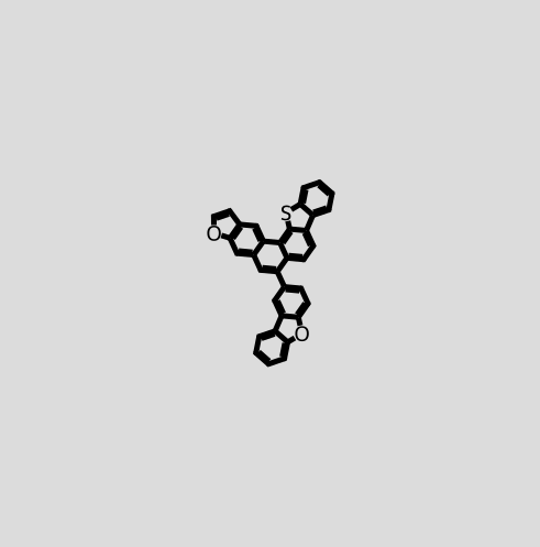 c1ccc2c(c1)oc1ccc(-c3cc4cc5occc5cc4c4c3ccc3c5ccccc5sc34)cc12